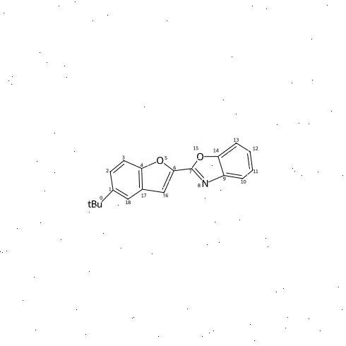 CC(C)(C)c1ccc2oc(-c3nc4ccccc4o3)cc2c1